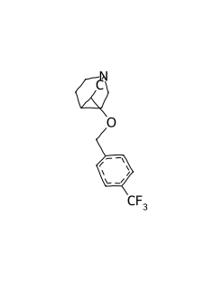 FC(F)(F)c1ccc(COC2CN3CCC2CC3)cc1